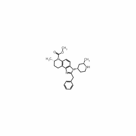 COC(=O)N1c2ccc3c(nc(Cc4ccccc4)n3[C@@H]3CCN[C@H](C)C3)c2CC[C@@H]1C